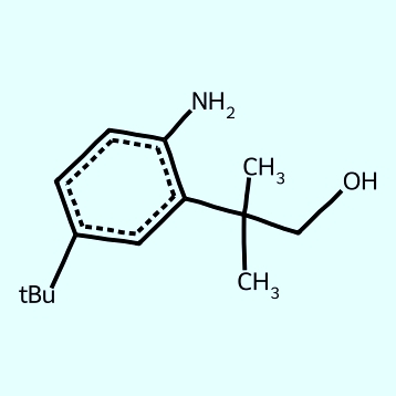 CC(C)(C)c1ccc(N)c(C(C)(C)CO)c1